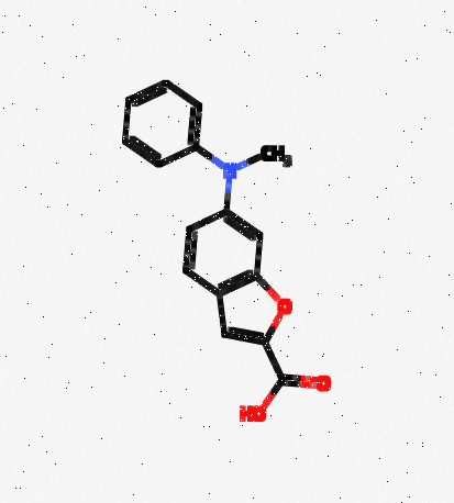 CN(c1ccccc1)c1ccc2cc(C(=O)O)oc2c1